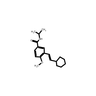 COc1ccc(C(=O)NC(C)C)cc1C=CC1CCCCC1